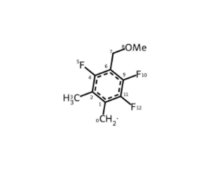 [CH2]c1c(C)c(F)c(COC)c(F)c1F